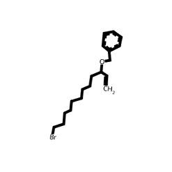 C=CC(CCCCCCCCCBr)OCc1ccccc1